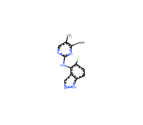 CNc1nc(Nc2c(F)ccc3[nH]ncc23)ncc1C(F)(F)F